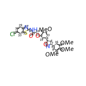 COc1ccc(C2CC(c3cc(OC)c(OC)c(OC)c3)=NO2)cc1OCC(=O)Nc1nc2ccc(Cl)cc2s1